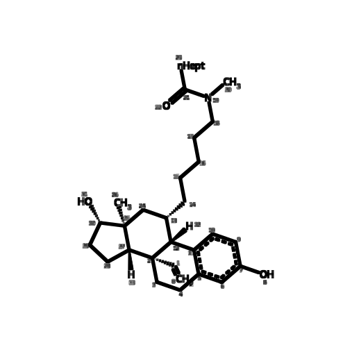 C=C[C@@]12CCc3cc(O)ccc3[C@H]1[C@@H](CCCCCN(C)C(=O)CCCCCCC)C[C@@]1(C)[C@H]2CC[C@@H]1O